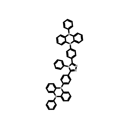 c1ccc(B2c3ccccc3N(c3ccc(-c4nnc(-c5ccc(N6c7ccccc7B(c7ccccc7)c7ccccc76)cc5)n4-c4ccccc4)cc3)c3ccccc32)cc1